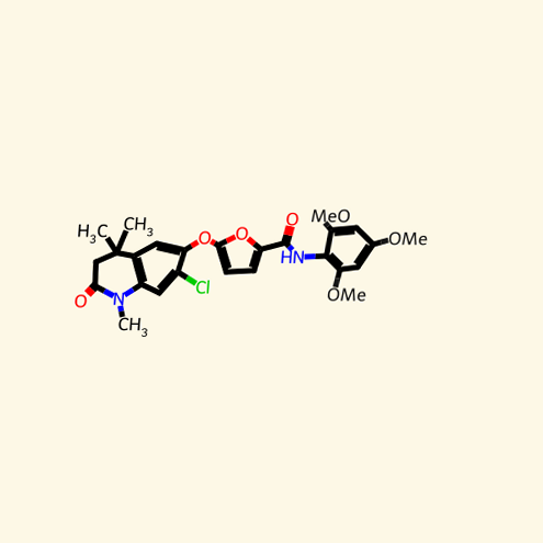 COc1cc(OC)c(NC(=O)c2ccc(Oc3cc4c(cc3Cl)N(C)C(=O)CC4(C)C)o2)c(OC)c1